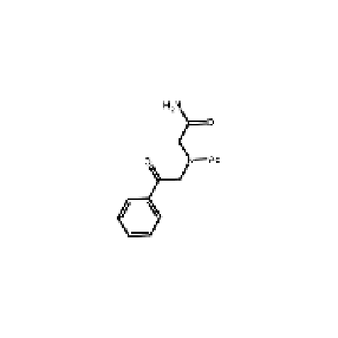 CC(=O)N(CC(N)=O)CC(=O)c1ccccc1